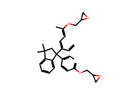 C=C/C(=C\C=C(/C)OCC1CO1)C1(C(/C=C\C(=C)OCC2CO2)=C/C)CC(C)(C)c2ccccc21